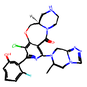 CC1Cn2cnnc2CN1c1nc(-c2c(O)cccc2F)c(Cl)c2c1C(=O)N1CCNC[C@@H]1CO2